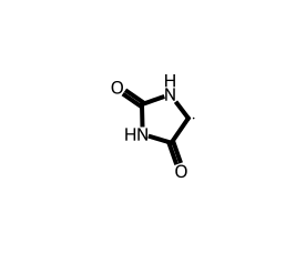 O=C1[CH]NC(=O)N1